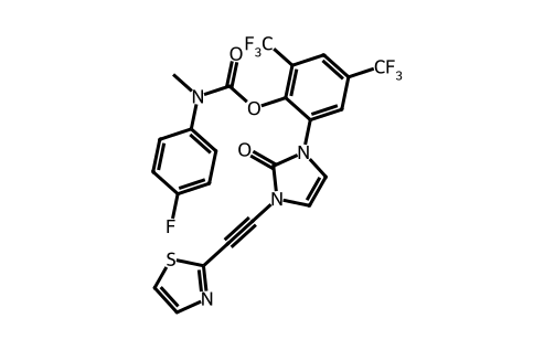 CN(C(=O)Oc1c(-n2ccn(C#Cc3nccs3)c2=O)cc(C(F)(F)F)cc1C(F)(F)F)c1ccc(F)cc1